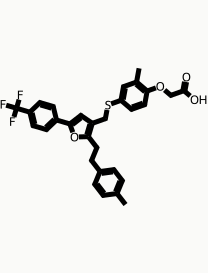 Cc1ccc(CCc2oc(-c3ccc(C(F)(F)F)cc3)cc2CSc2ccc(OCC(=O)O)c(C)c2)cc1